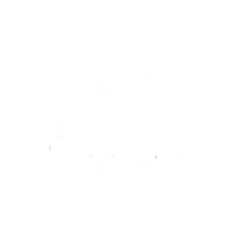 Cc1ccc2c(NS(=O)(=O)CCC(F)(F)F)c(F)ccc2c1Oc1ncccc1-c1ccnc(NC2CCCN(C(=O)OC(C)(C)C)C2)n1